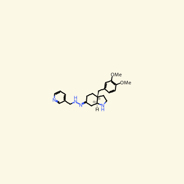 COc1ccc(C[C@@]23CCN[C@H]2CC(=NNCc2cccnc2)CC3)cc1OC